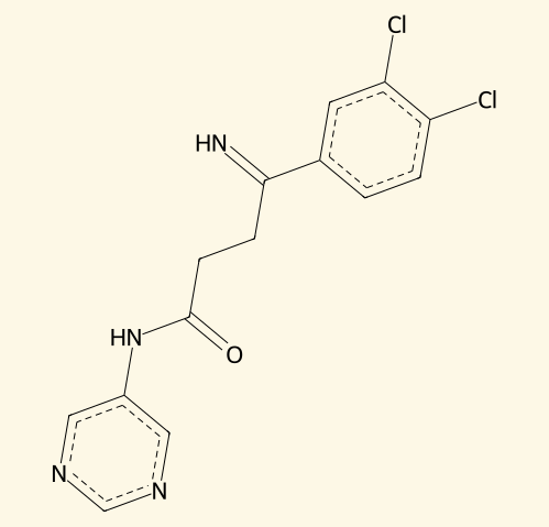 N=C(CCC(=O)Nc1cncnc1)c1ccc(Cl)c(Cl)c1